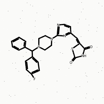 O=C1NC(=O)C(=Cc2ccnc(N3CCN(C(c4ccccc4)c4ccc(F)cc4)CC3)n2)S1